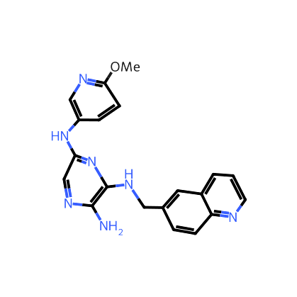 COc1ccc(Nc2cnc(N)c(NCc3ccc4ncccc4c3)n2)cn1